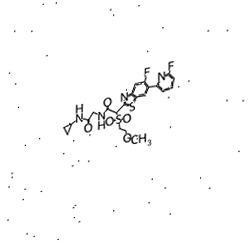 COCCS(=O)(=O)C(C(=O)NCC(=O)NC1CC1)c1nc2cc(F)c(-c3cccc(F)n3)cc2s1